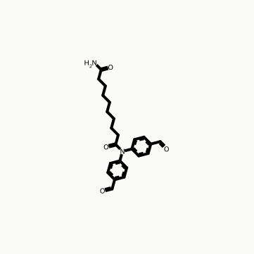 NC(=O)CCCCCCCCC(=O)N(c1ccc(C=O)cc1)c1ccc(C=O)cc1